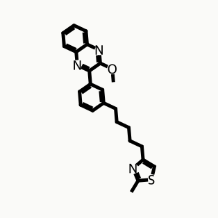 COc1nc2ccccc2nc1-c1cccc(CCCCCc2csc(C)n2)c1